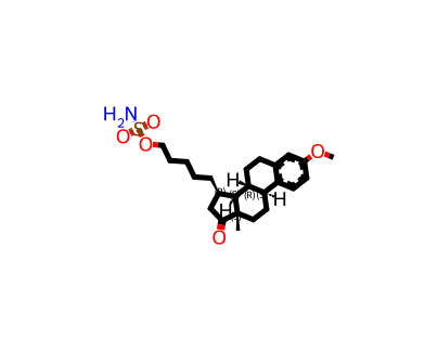 COc1ccc2c(c1)CC[C@H]1[C@@H]3[C@H](CCCCCOS(N)(=O)=O)CC(=O)[C@@]3(C)CC[C@H]21